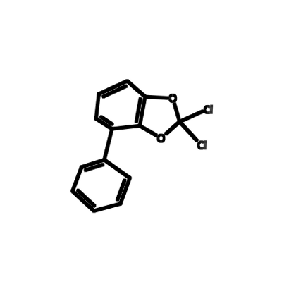 ClC1(Cl)Oc2cccc(-c3ccccc3)c2O1